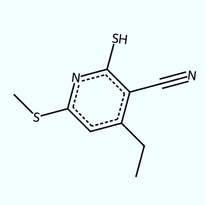 CCc1cc(SC)nc(S)c1C#N